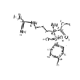 COC(=O)[C@@](N)(CCCNC(=N)N)S(=O)(=O)c1ccc(C)cc1